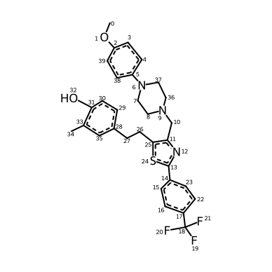 COc1ccc(N2CCN(Cc3nc(-c4ccc(C(F)(F)F)cc4)sc3CCc3ccc(O)c(C)c3)CC2)cc1